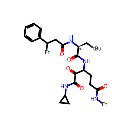 CCNC(=O)CCC(NC(=O)[C@H](CC(C)(C)C)NC(=O)CC(CC)c1ccccc1)C(=O)C(=O)NC1CC1